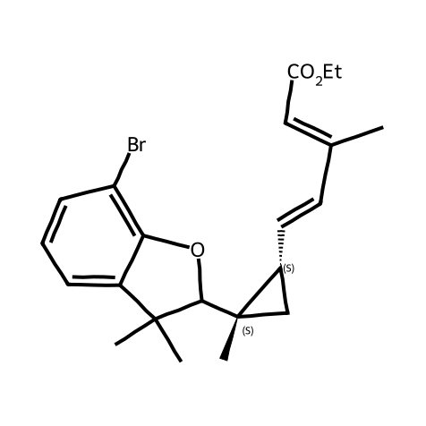 CCOC(=O)C=C(C)C=C[C@@H]1C[C@]1(C)C1Oc2c(Br)cccc2C1(C)C